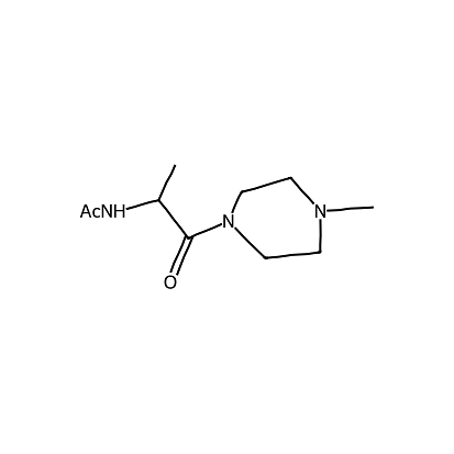 CC(=O)NC(C)C(=O)N1CCN(C)CC1